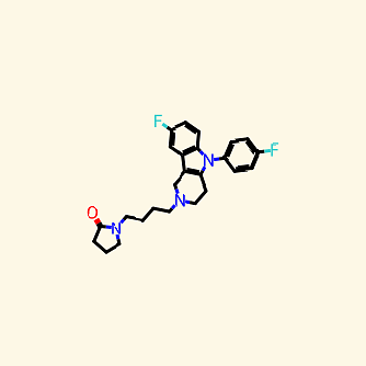 O=C1CCCN1CCCCN1CCc2c(c3cc(F)ccc3n2-c2ccc(F)cc2)C1